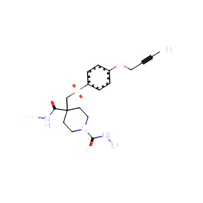 CC#CCOc1ccc(S(=O)(=O)CC2(C(=O)NO)CCN(C(=O)NCC)CC2)cc1